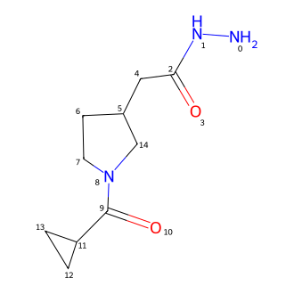 NNC(=O)CC1CCN(C(=O)C2CC2)C1